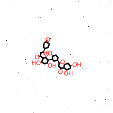 COc1ccc(-c2cc(=O)c3c(O)cc(O)c(-c4cc(-c5cc(=O)c6c(O)cc(O)cc6o5)ccc4O)c3o2)cc1